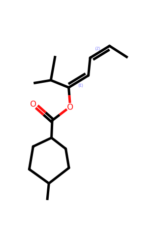 C/C=C\C=C(\OC(=O)C1CCC(C)CC1)C(C)C